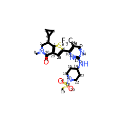 CN1CC(C2CC2)c2sc(-c3nc(NC4CCN(S(C)(=O)=O)CC4)ncc3C(F)(F)F)cc2C1=O